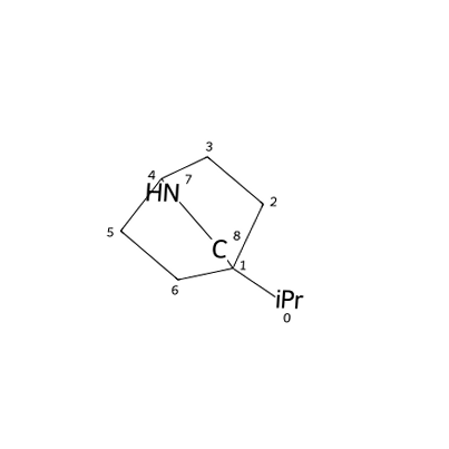 CC(C)C12CCC(CC1)NC2